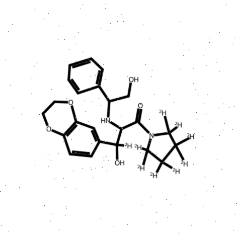 [2H]C(O)(c1ccc2c(c1)OCCO2)C(NC(CO)c1ccccc1)C(=O)N1C([2H])([2H])C([2H])([2H])C([2H])([2H])C1([2H])[2H]